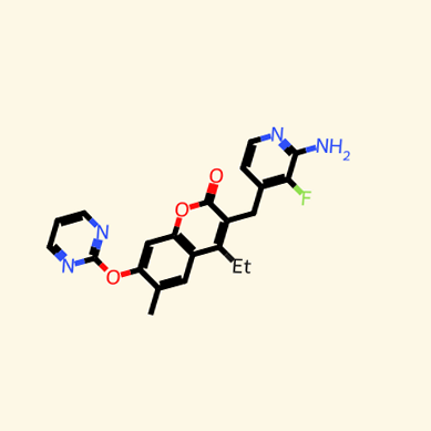 CCc1c(Cc2ccnc(N)c2F)c(=O)oc2cc(Oc3ncccn3)c(C)cc12